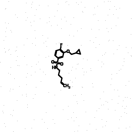 C=CCCCNS(=O)(=O)c1ccc(F)c(OCC2CC2)c1